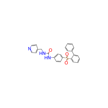 O=C(NCc1ccncc1)Nc1ccc(S(=O)(=O)c2ccccc2-c2ccccc2)cc1